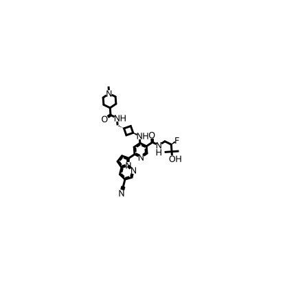 CN1CCC(C(=O)NC[C@H]2C[C@H](Nc3cc(-c4ccc5cc(C#N)cnn45)ncc3C(=O)NC[C@@H](F)C(C)(C)O)C2)CC1